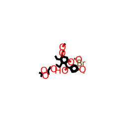 CCc1c(OCOC)cc(OCOC)c(C(O)c2ccc(OC)c(Br)c2)c1CCOCC1COC(C)(C)O1